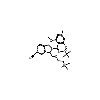 COc1cc(C)cc(C)c1C(=N[S+]([O-])C(C)(C)C)N1Cc2ccc(C#N)cc2C1COCC[Si](C)(C)C